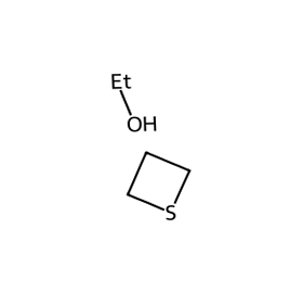 C1CSC1.CCO